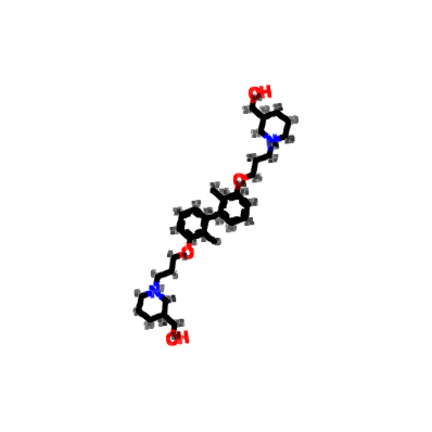 Cc1c(OCCCN2CCCC(CO)C2)cccc1-c1cccc(OCCCN2CCCC(CO)C2)c1C